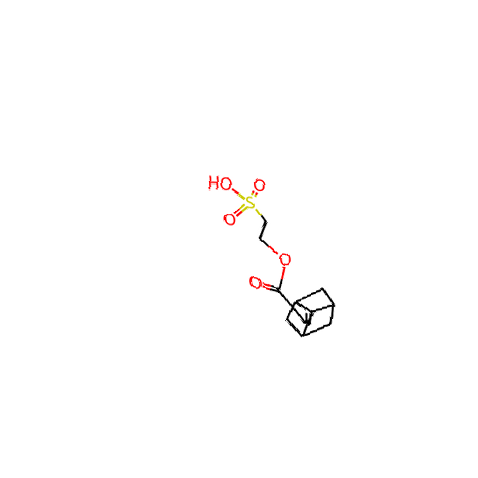 O=C(OCCS(=O)(=O)O)C1=C2C3CC(C1)CC2C3